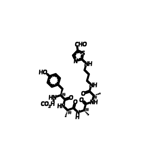 C[C@H](NC(=O)[C@H](C)NC(=O)[C@H](C)NC(=O)[C@H](Cc1ccc(O)cc1)NC(=O)O)C(=O)NCCCNc1ncc(C=O)s1